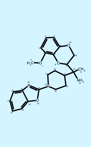 COc1cccc2c1OC(C(C)(N)C1CCN(c3nc4ccccc4o3)CC1)CO2